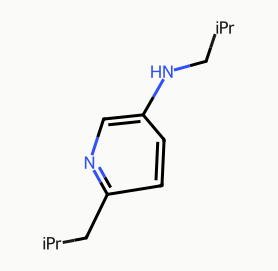 CC(C)CNc1ccc(CC(C)C)nc1